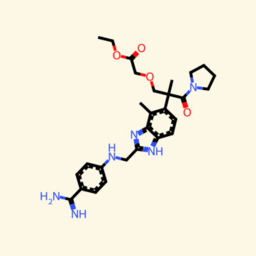 CCOC(=O)COCC(C)(C(=O)N1CCCC1)c1ccc2[nH]c(CNc3ccc(C(=N)N)cc3)nc2c1C